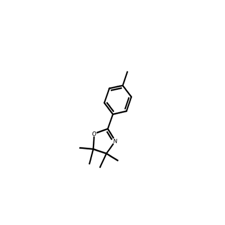 Cc1ccc(C2=NC(C)(C)C(C)(C)O2)cc1